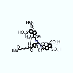 CCN1/C(=C/C=C(/C=C/C2=[N+](CC)c3ccc4c(SOOO)cc(S(=O)(=O)O)cc4c3C2(C)C)c2ccc(C(=O)NCCCCCC(=O)C(C)(C)C)cn2)C(C)(C)c2c1ccc1c(S(=O)(=O)O)cc(S(=O)(=O)O)cc21